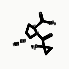 Cl.Cl.NC(=O)[C@@H]1CCCN1C(=O)C1(C(F)(F)F)CC1